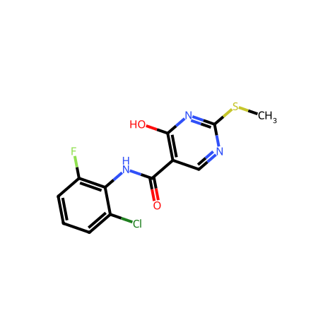 CSc1ncc(C(=O)Nc2c(F)cccc2Cl)c(O)n1